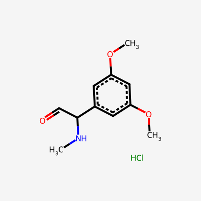 CNC(C=O)c1cc(OC)cc(OC)c1.Cl